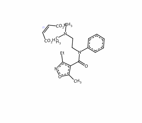 CCc1noc(C)c1C(=O)N(CCN(C)C)c1ccccc1.O=C(O)/C=C\C(=O)O